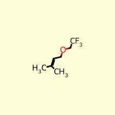 CC(C)=CCOCC(F)(F)F